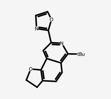 CC(C)(C)c1nc(-c2ncco2)cc2c3c(ccc12)CCO3